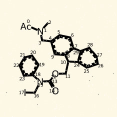 CC(=O)N(C)Cc1ccc2c(c1)C(COC(=O)N(CI)c1ccccc1)c1ccccc1-2